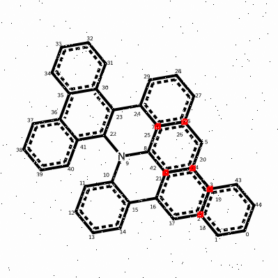 c1ccc(-c2cccc(N(c3ccccc3-c3ccccc3)c3c(-c4ccccc4)c4ccccc4c4ccccc34)c2)cc1